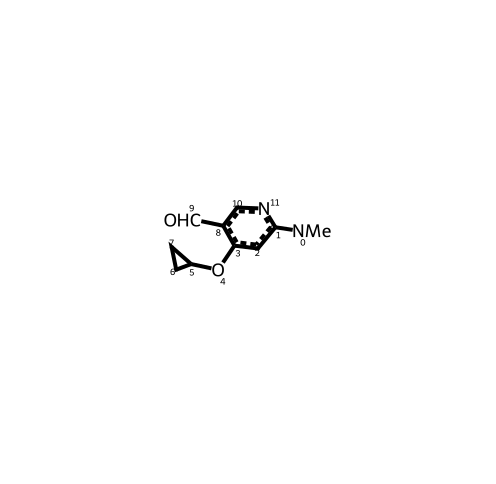 CNc1cc(OC2CC2)c(C=O)cn1